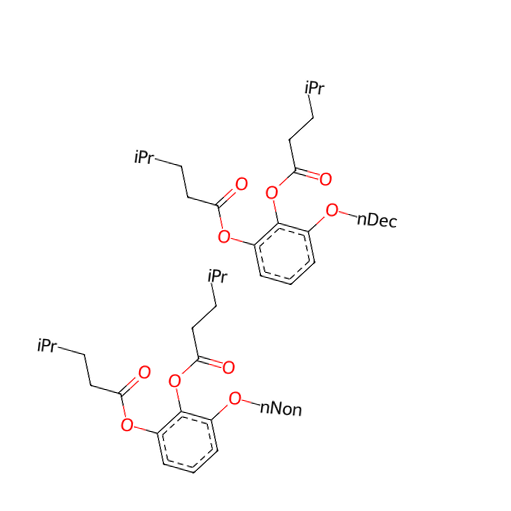 CCCCCCCCCCOc1cccc(OC(=O)CCC(C)C)c1OC(=O)CCC(C)C.CCCCCCCCCOc1cccc(OC(=O)CCC(C)C)c1OC(=O)CCC(C)C